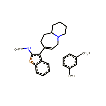 COc1cccc(C(=O)O)c1.O=CNc1sc2ccccc2c1C1=CCN2CCCCC2CC1